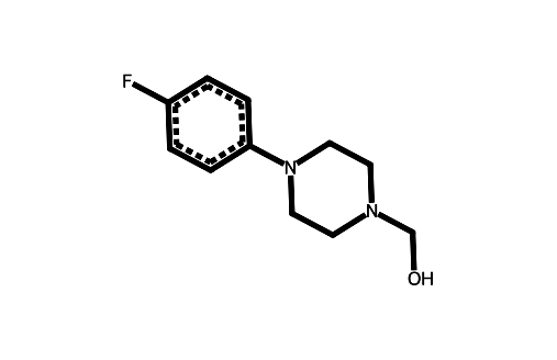 OCN1CCN(c2ccc(F)cc2)CC1